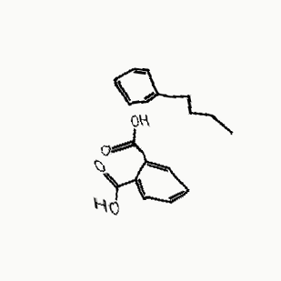 CCCCc1ccccc1.O=C(O)c1ccccc1C(=O)O